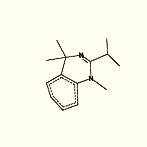 CC(C)C1=NC(C)(C)c2ccccc2N1C